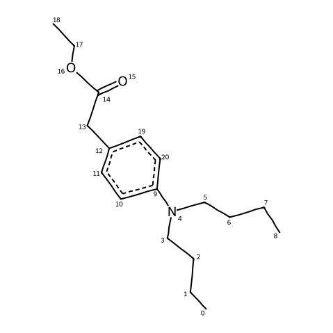 CCCCN(CCCC)c1ccc(CC(=O)OCC)cc1